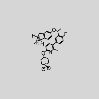 Cc1nc(OC2CCS(=O)(=O)CC2)ccc1-c1ccc(F)c(C(C)Oc2ccc3c(c2)C[C@H]2[C@H](C)[C@@H]32)c1